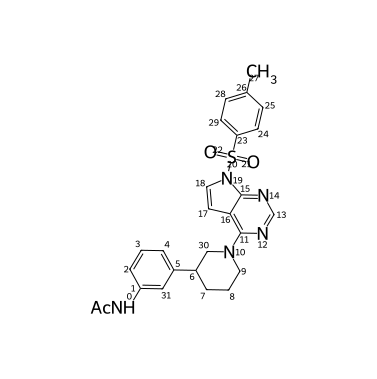 CC(=O)Nc1cccc(C2CCCN(c3ncnc4c3ccn4S(=O)(=O)c3ccc(C)cc3)C2)c1